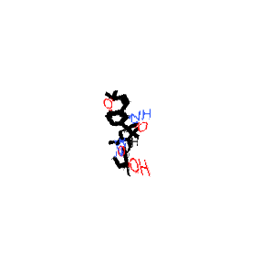 CN1C(=O)[C@@]23C[C@@H]4C1(CN2CC[C@@]3(C)O)C[C@@]1(C(=O)Nc2c1ccc1c2C=CC(C)(C)O1)C4(C)C